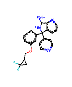 NC1NC(c2ccncc2)(c2cccc(OCC3CC3(F)F)c2)c2cccnc21